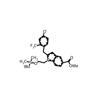 COC(=O)c1ccc2c(c1)cc(Cc1ccc(Cl)cc1C(F)(F)F)n2CCO[Si](C)(C)C(C)(C)C